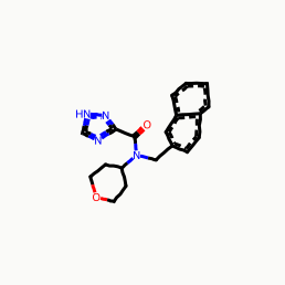 O=C(c1nc[nH]n1)N(Cc1ccc2ccccc2c1)C1CCOCC1